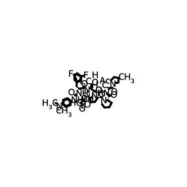 CC(=O)[C@@H]1C[C@@H](C)CN1C(=O)[C@H](C)NC(=O)[C@@H]1CCCCN1C(=O)[C@@H]1C[C@@H](OP(=O)(O)O)CN1C(=O)[C@@H](NC(=O)[C@H](Cc1cc(F)cc(F)c1)NC(=O)Nc1ccc(N(C)C)cc1)[C@H](C)O